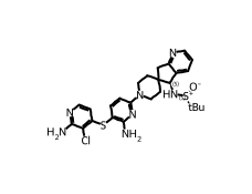 CC(C)(C)[S@@+]([O-])N[C@@H]1c2cccnc2CC12CCN(c1ccc(Sc3ccnc(N)c3Cl)c(N)n1)CC2